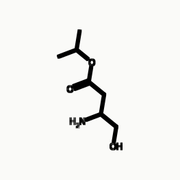 CC(C)OC(=O)CC(N)CO